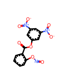 O=NOc1ccccc1C(=O)Oc1cc([N+](=O)[O-])cc([N+](=O)[O-])c1